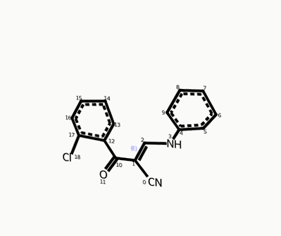 N#C/C(=C\Nc1ccccc1)C(=O)c1ccccc1Cl